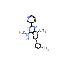 CNc1nc(-c2cccnc2)nc2c(C)cc(-c3cccc(C)c3)cc12